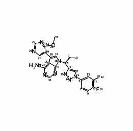 CC[C@@H](c1cn(-c2ccc(F)c(F)c2)nn1)n1cc(-c2cncnc2OC)c2c(N)ncnc21